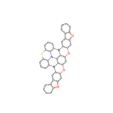 c1cc2c3c(c1)B1c4cc5c(cc4Oc4cc6c7c(c41)N3c1c(cccc1B7c1cc3c(cc1O6)oc1ccccc13)S2)oc1ccccc15